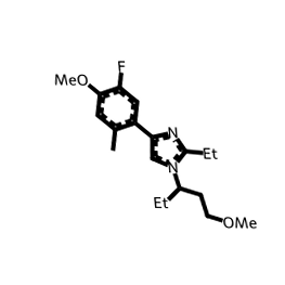 CCc1nc(-c2cc(F)c(OC)cc2C)cn1C(CC)CCOC